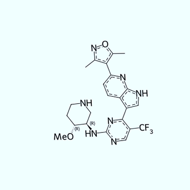 CO[C@@H]1CCNC[C@H]1Nc1ncc(C(F)(F)F)c(-c2c[nH]c3nc(-c4c(C)noc4C)ccc23)n1